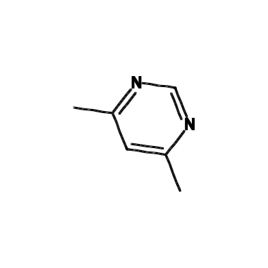 Cc1cc(C)ncn1